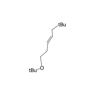 CC(C)(C)C/C=C/CCOC(C)(C)C